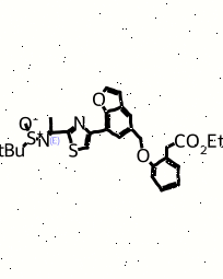 CCOC(=O)Cc1ccccc1OCc1cc(-c2csc(/C(C)=N/[S+]([O-])C(C)(C)C)n2)c2occc2c1